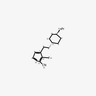 CCC[C@H]1CC[C@H](CCc2cccc(C#N)c2F)CC1